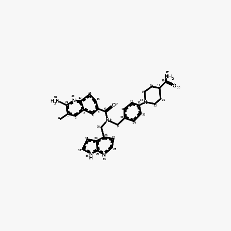 Cc1cc2cc(C(=O)N(Cc3ccc(N4CCC(C(N)=O)CC4)cc3)Cc3ccnc4[nH]ccc34)ccc2nc1N